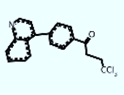 O=C(CCC(Cl)(Cl)Cl)c1ccc(-c2ccnc3ccccc23)cc1